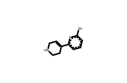 Sc1cccc(C2=CCNCC2)n1